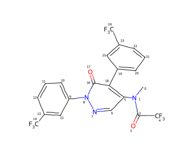 CN(C(=O)C(F)(F)F)c1cnn(-c2cccc(C(F)(F)F)c2)c(=O)c1-c1cccc(C(F)(F)F)c1